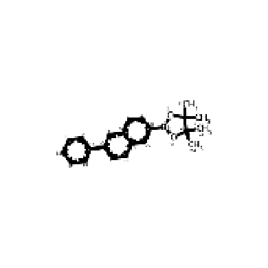 CC1(C)OB(c2ccc3cc(-c4ccccc4)ccc3c2)OC1(C)C